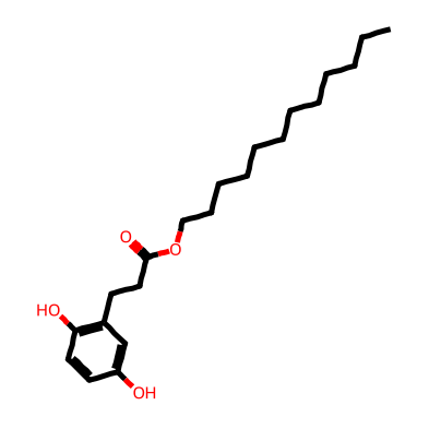 CCCCCCCCCCCCOC(=O)CCc1cc(O)ccc1O